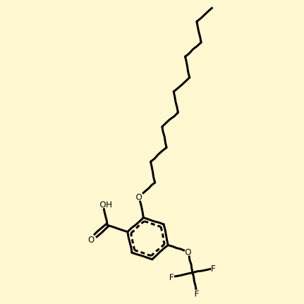 CCCCCCCCCCCOc1cc(OC(F)(F)F)ccc1C(=O)O